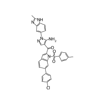 Cc1ccc(S(=O)(=O)n2c(C(=O)c3cnn(-c4ccc5[nH]c(C)nc5c4)c3N)cc3ccc(-c4ccc(Cl)cc4)cc32)cc1